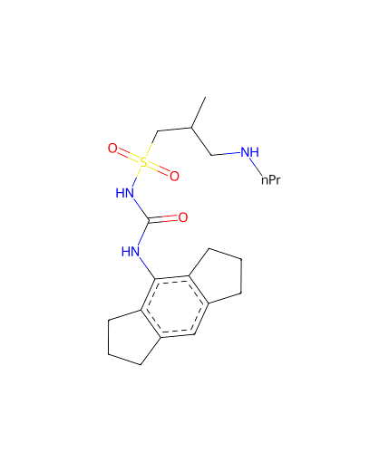 CCCNCC(C)CS(=O)(=O)NC(=O)Nc1c2c(cc3c1CCC3)CCC2